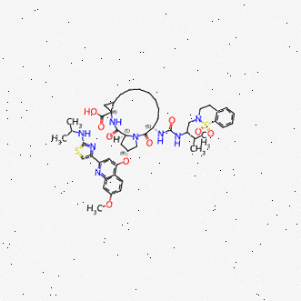 COc1ccc2c(O[C@@H]3C[C@H]4C(=O)N[C@]5(C(=O)O)CC5CCCCCCC[C@H](NC(=O)NC(CN5CCc6ccccc6S5(=O)=O)C(C)C)C(=O)N4C3)cc(-c3csc(NC(C)C)n3)nc2c1